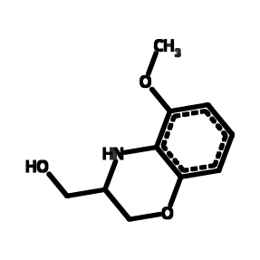 COc1cccc2c1NC(CO)CO2